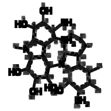 Bc1c(O)c(O)c2c(c1B)c1c(-n3c4ccccc4c4c(C)c(C)c(B)c(O)c43)c(O)c(O)c(O)c1n2C